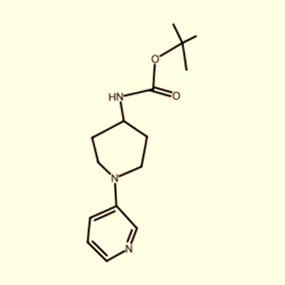 CC(C)(C)OC(=O)NC1CCN(c2cccnc2)CC1